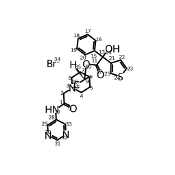 O=C(C[N+]12CCC(CC1)[C@@H](OC(=O)C(O)(c1ccccc1)c1ccsc1)C2)Nc1cncnc1.[Br-]